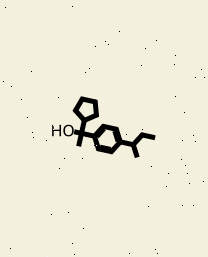 CCC(C)c1ccc(C(C)(O)C2CCCC2)cc1